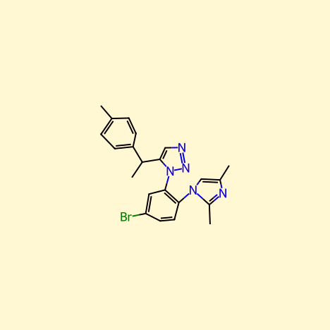 Cc1ccc(C(C)c2cnnn2-c2cc(Br)ccc2-n2cc(C)nc2C)cc1